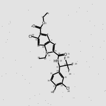 CCOC(=O)c1cc2cc(C(=O)NC(c3ccc(F)c(Cl)c3)C(F)(F)F)n(CC)c2cc1Cl